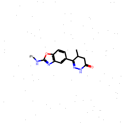 CC(C)Nc1nc2cc(C3=NNC(=O)CC3C)ccc2o1